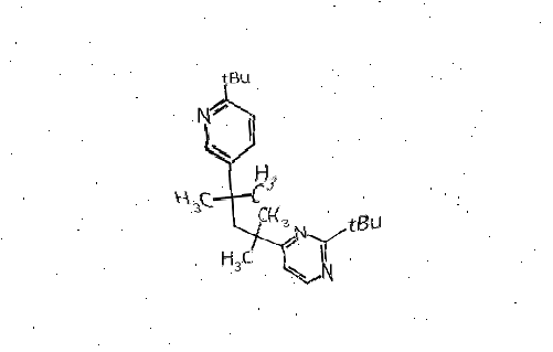 CC(C)(C)c1ccc(C(C)(C)CC(C)(C)c2ccnc(C(C)(C)C)n2)cn1